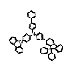 c1ccc(-c2ccc(N(c3ccc(-c4ccc5c(c4)C(c4ccccc4)(c4ccccc4)c4ccccc4-5)cc3)c3ccc(-n4c5ccccc5c5ccccc54)cc3)cc2)cc1